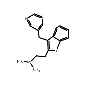 CN(C)CCc1sc2ccccc2c1Cc1cncnc1